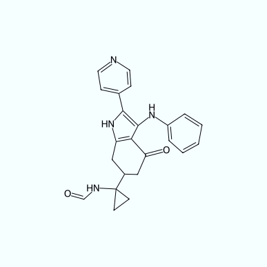 O=CNC1(C2CC(=O)c3c([nH]c(-c4ccncc4)c3Nc3ccccc3)C2)CC1